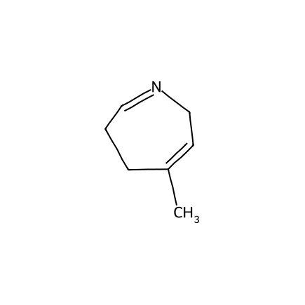 CC1=CCN=CCC1